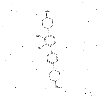 CCCCC[C@H]1CC[C@H](c2ccc(-c3ccc([C@H]4CC[C@H](CCCC)CC4)c(C#N)c3C#N)cc2)CC1